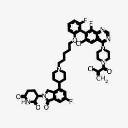 C=C(Cl)C(=O)N1CCN(c2ncnc3c(F)c(-c4c(F)cccc4OCCCCCN4CCC(c5cc(F)cc6c5CN(C5CCC(=O)NC5=O)C6=O)CC4)c(Cl)cc23)CC1